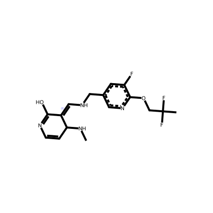 CNC1C=CN=C(O)/C1=C/NCc1cnc(OCC(C)(F)F)c(F)c1